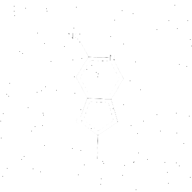 Cc1cc2cnc(C#N)cc2o1